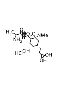 CN[C@]1(C(=O)O)C[C@H](CCB(O)O)CC[C@H]1CNC(=O)[C@H](C)N.Cl.Cl